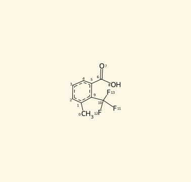 Cc1cccc(C(=O)O)c1C(F)(F)F